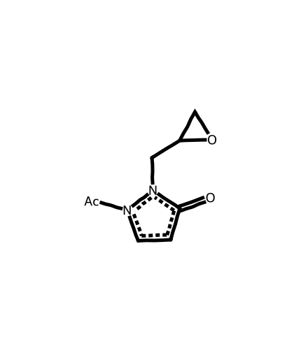 CC(=O)n1ccc(=O)n1CC1CO1